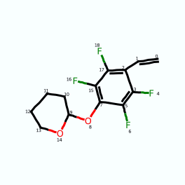 C=Cc1c(F)c(F)c(OC2CCCCO2)c(F)c1F